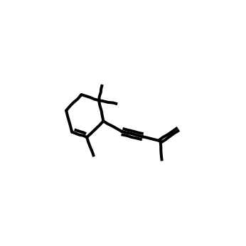 C=C(C)C#CC1C(C)=CCCC1(C)C